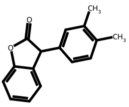 Cc1ccc(C2C(=O)Oc3ccccc32)cc1C